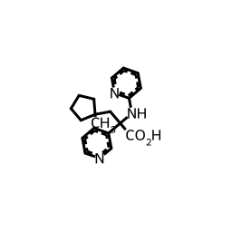 CC1(CC(Nc2ccccn2)(C(=O)O)c2cccnc2)CCCC1